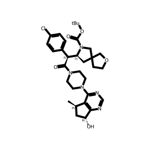 C[C@@H]1C[C@@H](O)c2ncnc(N3CCN(C(=O)[C@@H](c4ccc(Cl)cc4)[C@@H]4CC5(CCOC5)CN4C(=O)OC(C)(C)C)CC3)c21